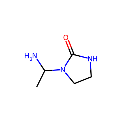 CC(N)N1CCNC1=O